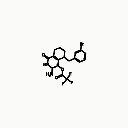 NC1NC(=O)C2=C(C(Cc3cccc(Br)c3)CCC2)N1OC(=O)C(F)(F)F